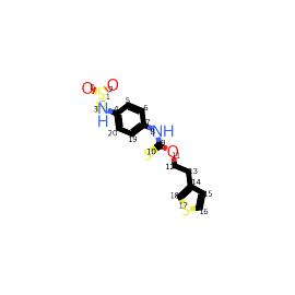 O=[SH](=O)Nc1ccc(NC(=S)OCCc2ccsc2)cc1